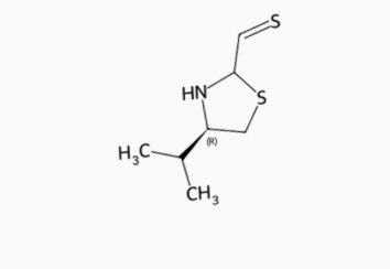 CC(C)[C@@H]1CSC(C=S)N1